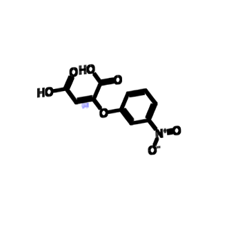 O=C(O)/C=C(/Oc1cccc([N+](=O)[O-])c1)C(=O)O